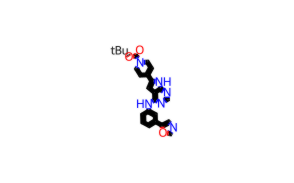 CC(C)(C)OC(=O)N1CC=C(c2cc3c(Nc4cccc(-c5cnco5)c4)ncnc3[nH]2)CC1